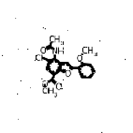 COC(=O)c1cc(Cl)c(NC(C)=O)c2cc(-c3ccccc3OC)oc12